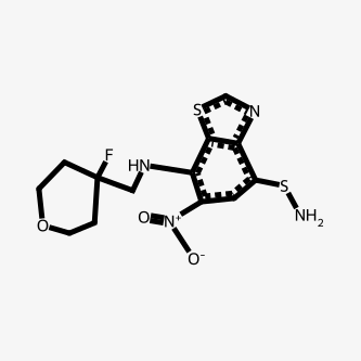 NSc1cc([N+](=O)[O-])c(NCC2(F)CCOCC2)c2scnc12